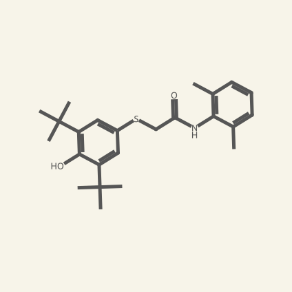 Cc1cccc(C)c1NC(=O)CSc1cc(C(C)(C)C)c(O)c(C(C)(C)C)c1